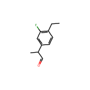 CCc1ccc(C(C)C=O)cc1F